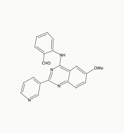 COc1ccc2nc(-c3cccnc3)nc(Nc3ccccc3C=O)c2c1